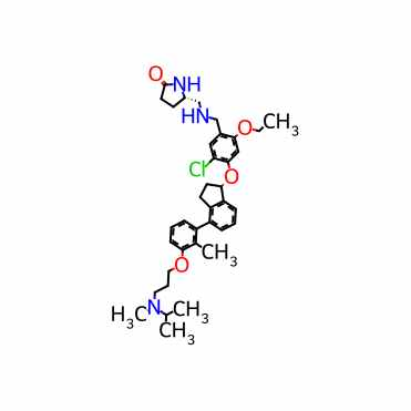 CCOc1cc(O[C@H]2CCc3c(-c4cccc(OCCCN(C)C(C)C)c4C)cccc32)c(Cl)cc1CNC[C@@H]1CCC(=O)N1